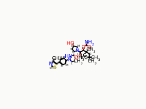 CCN(NC(=O)[C@@H]1C[C@@H](O)CN1C(=O)[C@@H](OC(N)=O)C(C)(C)CC(C)(C)C)c1ccc(-c2scnc2C)cc1